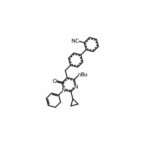 CCCCc1nc(C2CC2)n(C2=CC=CCC2)c(=O)c1Cc1ccc(-c2ccccc2C#N)cc1